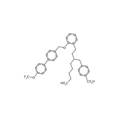 O=C(O)CCCCC(CCc1ccccc1OCc1ccc(-c2ccc(OC(F)(F)F)cc2)cc1)Cc1ccc(C(=O)O)cc1